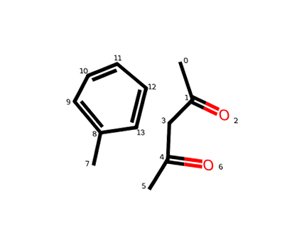 CC(=O)CC(C)=O.Cc1ccccc1